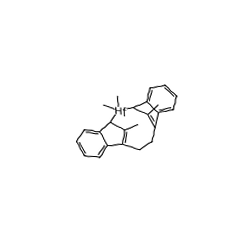 CC1=C2CCC3=C(C)[CH](c4ccccc43)[Hf]([CH3])([CH3])[CH]1c1ccccc12